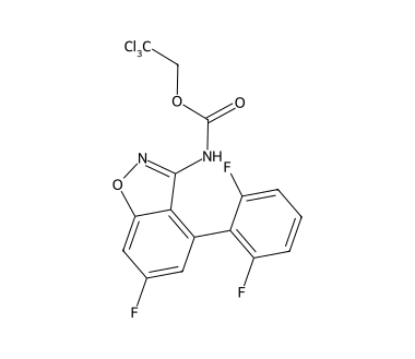 O=C(Nc1noc2cc(F)cc(-c3c(F)cccc3F)c12)OCC(Cl)(Cl)Cl